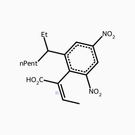 C/C=C(/C(=O)O)c1c(C(CC)CCCCC)cc([N+](=O)[O-])cc1[N+](=O)[O-]